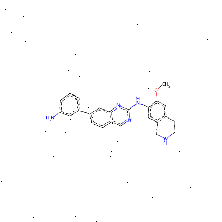 COc1cc2c(cc1Nc1ncc3ccc(-c4cccc(N)c4)cc3n1)CNCC2